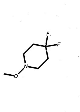 CON1CCC(F)(F)CC1